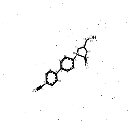 N#Cc1ccc(-c2ccc(N3CC(CO)CC3=O)cc2)cc1